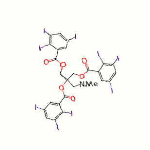 CNCC(COC(=O)c1cc(I)cc(I)c1I)(COC(=O)c1cc(I)cc(I)c1I)OC(=O)c1cc(I)cc(I)c1I